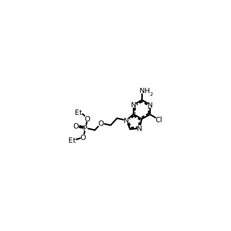 CCOP(=O)(COCCn1cnc2c(Cl)nc(N)nc21)OCC